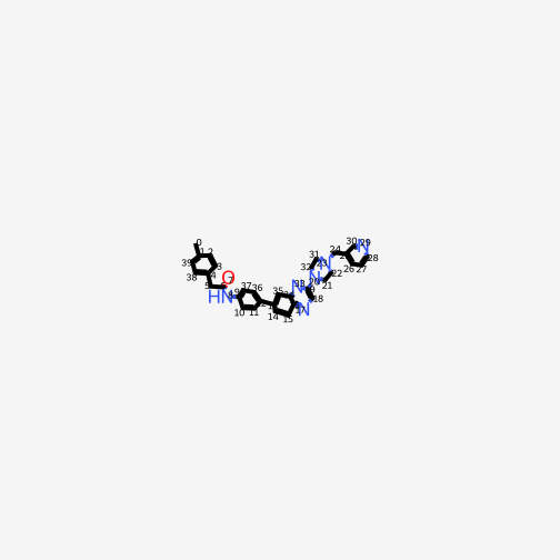 Cc1ccc(CC(=O)Nc2ccc(-c3ccc4ncc(N5CCN(Cc6cccnc6)CC5)nc4c3)cc2)cc1